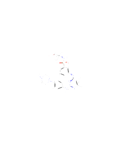 Cc1nc(Nc2ccc(N3CCN(C)CC3)cc2)nc(Nc2cccc(S(=O)(=O)NC(C)(C)CO)c2)c1C